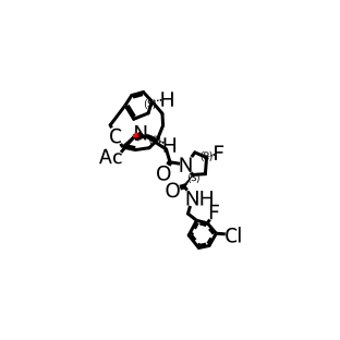 CC(=O)c1cn(CC(=O)N2C[C@H](F)C[C@H]2C(=O)NCc2cccc(Cl)c2F)c2c1C1=CC[C@@H]2CC[C@@H]2C=CC(=CC2)CC1